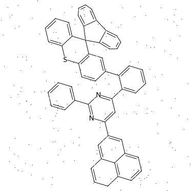 C1=Cc2cc(-c3cc(-c4ccccc4-c4ccc5c(c4)C4(c6ccccc6S5)c5ccccc5-c5ccccc54)nc(-c4ccccc4)n3)cc3cccc(c23)C1